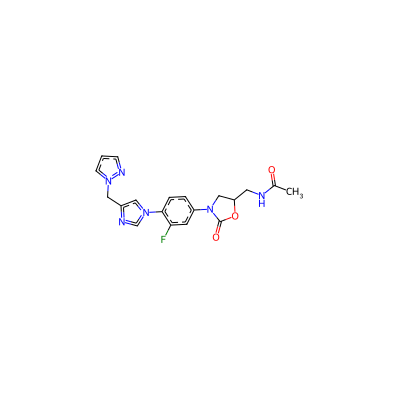 CC(=O)NCC1CN(c2ccc(-n3cnc(Cn4cccn4)c3)c(F)c2)C(=O)O1